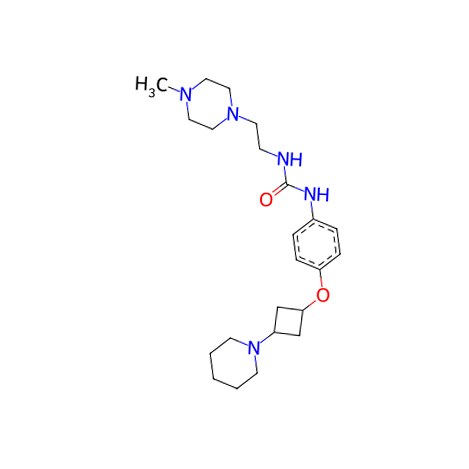 CN1CCN(CCNC(=O)Nc2ccc(OC3CC(N4CCCCC4)C3)cc2)CC1